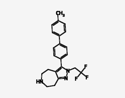 Cc1ccc(-c2ccc(-c3c4c(nn3CC(F)(F)F)CCNCC4)cc2)cc1